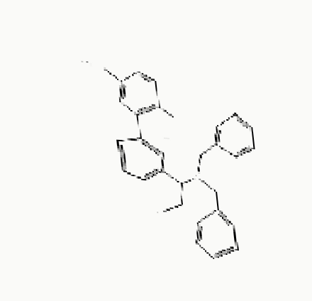 COc1ccc(C)c(-c2cccc(C(CC(=O)O)N(Cc3ccccc3)[C@H](C)c3ccccc3)c2)c1